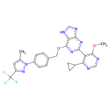 COc1ncnc(C2CC2)c1-c1nc(OCc2ccc(-n3nc(C(F)(F)F)cc3C)cc2)c2[nH]cnc2n1